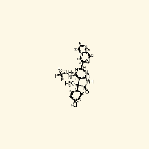 CC1(c2ccc(Cl)cc2)C(=O)Nc2nc(-c3cn4ccnc4cn3)nc(NCC(F)(F)F)c21